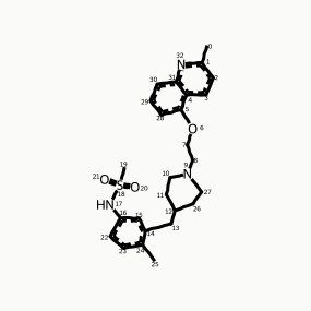 Cc1ccc2c(OCCN3CCC(Cc4cc(NS(C)(=O)=O)ccc4C)CC3)cccc2n1